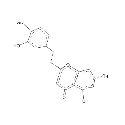 O=c1cc(CCc2ccc(O)c(O)c2)oc2cc(O)cc(O)c12